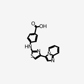 O=C(O)c1ccc(Nc2nc(-c3cnc4ccccn34)cs2)cc1